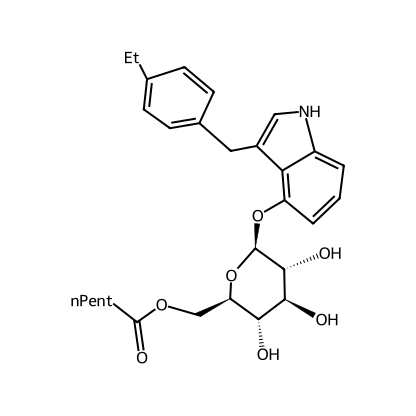 CCCCCC(=O)OC[C@H]1O[C@@H](Oc2cccc3[nH]cc(Cc4ccc(CC)cc4)c23)[C@H](O)[C@@H](O)[C@@H]1O